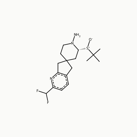 CC(C)(C)[S+]([O-])[C@@H]1CC2(CCN1N)Cc1ccc(C(F)F)nc1C2